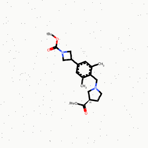 COC(=O)[C@@H]1CCN(Cc2c(C)cc(C3CN(C(=O)OC(C)(C)C)C3)cc2C)C1